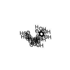 O=P(O)(O)OP(=O)(O)OP(=O)(O)OP(=O)(O)OP(=O)(O)Oc1cc(O)c(O)c(O)c1O